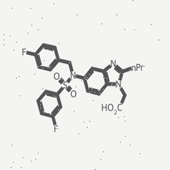 CCCc1nc2cc(N(Cc3ccc(F)cc3)S(=O)(=O)c3cccc(F)c3)ccc2n1CC(=O)O